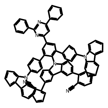 N#Cc1ccccc1-c1ccc2c(c1)c1cc(-c3ccccc3C#N)ccc1n2-c1c(-c2ccc(-n3c4ccccc4c4ccccc43)cc2)cc(-c2cc(-c3ccccc3)nc(-c3ccccc3)n2)cc1-c1ccc(-n2c3ccccc3c3ccccc32)cc1